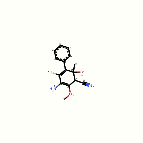 COC1=C(N)C(F)=C(c2ccccc2)C(C)(Br)C1C#N